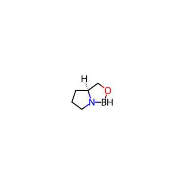 B1OC[C@@H]2CCCN12